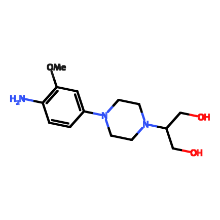 COc1cc(N2CCN(C(CO)CO)CC2)ccc1N